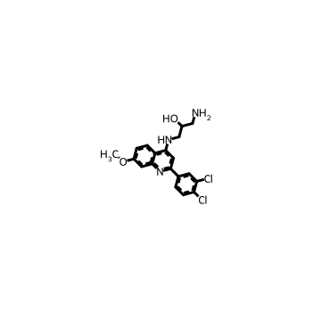 COc1ccc2c(NCC(O)CN)cc(-c3ccc(Cl)c(Cl)c3)nc2c1